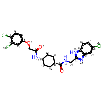 O=C(COc1ccc(Cl)c(F)c1)N[C@H]1CC[C@H](C(=O)NCc2nc3cc(Cl)ccc3[nH]2)CC1